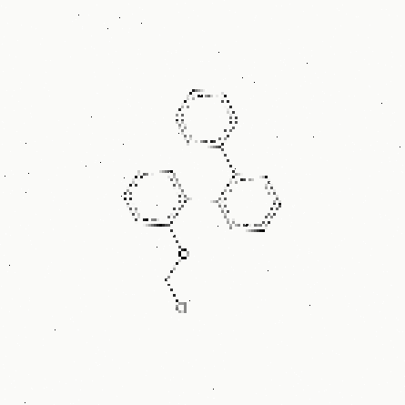 ClCOc1ccccc1-c1ccccc1-c1ccccc1